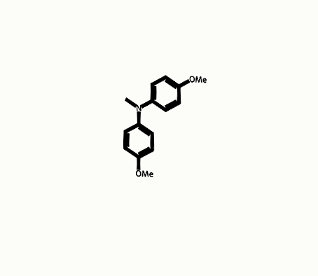 COc1ccc(N(C)c2ccc(OC)cc2)cc1